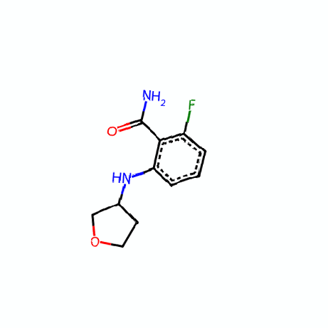 NC(=O)c1c(F)cccc1NC1CCOC1